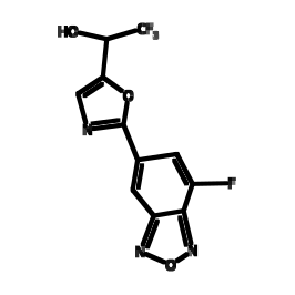 OC(c1cnc(-c2cc(F)c3nonc3c2)o1)C(F)(F)F